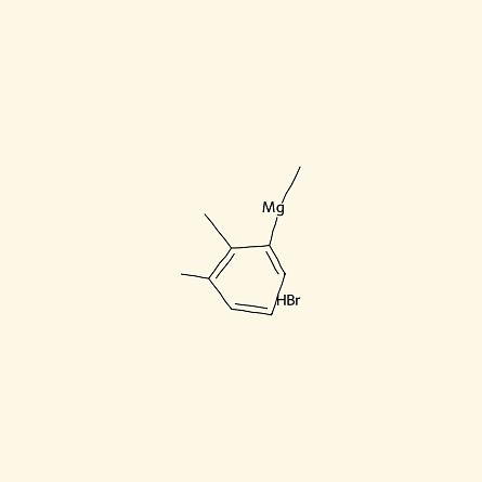 Br.[CH3][Mg][c]1cccc(C)c1C